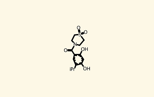 CC(C)c1cc(C(=O)N2CCS(=O)(=O)CC2)c(O)cc1O